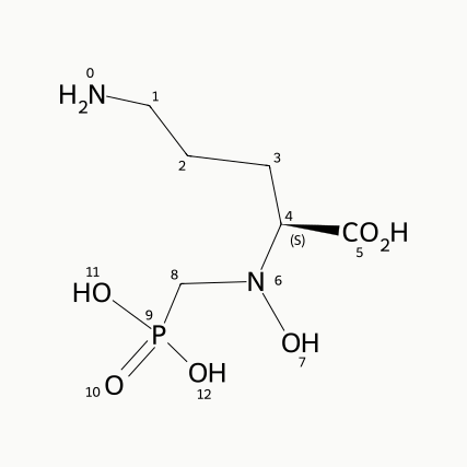 NCCC[C@@H](C(=O)O)N(O)CP(=O)(O)O